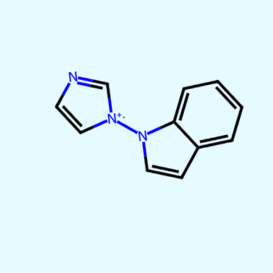 C1=C[N+](n2ccc3ccccc32)C=N1